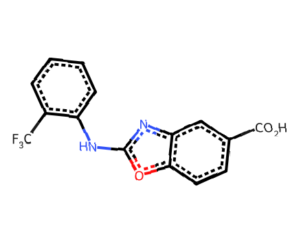 O=C(O)c1ccc2oc(Nc3ccccc3C(F)(F)F)nc2c1